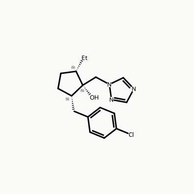 CC[C@H]1CC[C@@H](Cc2ccc(Cl)cc2)[C@]1(O)Cn1cncn1